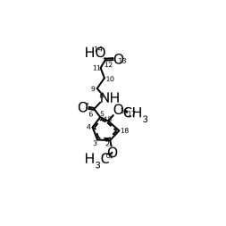 COc1ccc(C(=O)NCCCC(=O)O)c(OC)c1